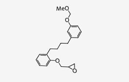 COCOc1cccc(CCCCc2ccccc2OCC2CO2)c1